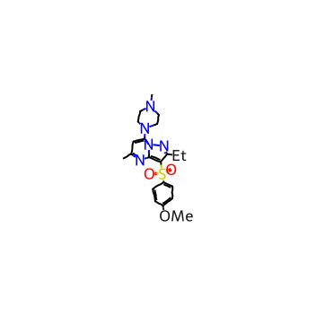 CCc1nn2c(N3CCN(C)CC3)cc(C)nc2c1S(=O)(=O)c1ccc(OC)cc1